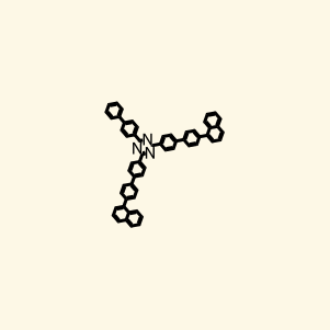 c1ccc(-c2ccc(-c3nc(-c4ccc(-c5ccc(-c6cccc7ccccc67)cc5)cc4)nc(-c4ccc(-c5ccc(-c6cccc7ccccc67)cc5)cc4)n3)cc2)cc1